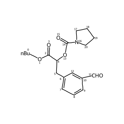 CCCCOC(=O)C(Cc1cccc(C=O)c1)OC(=O)N1CCCC1